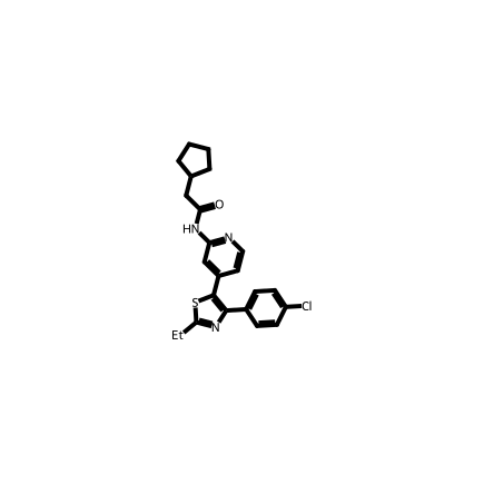 CCc1nc(-c2ccc(Cl)cc2)c(-c2ccnc(NC(=O)CC3CCCC3)c2)s1